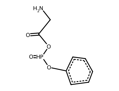 NCC(=O)O[PH](=O)Oc1ccccc1